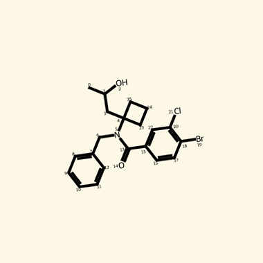 CC(O)CC1(N(Cc2ccccc2)C(=O)c2ccc(Br)c(Cl)c2)CCC1